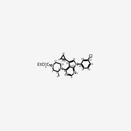 CCOC(=O)N1C[C@H](C)N(c2ncnc3c2c(C2CC2)cn3-c2cccc(Cl)c2)[C@@H](C)C1